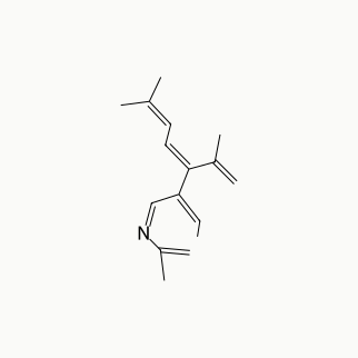 C=C(C)\N=C/C(=C\C)C(=C/C=C(C)C)/C(=C)C